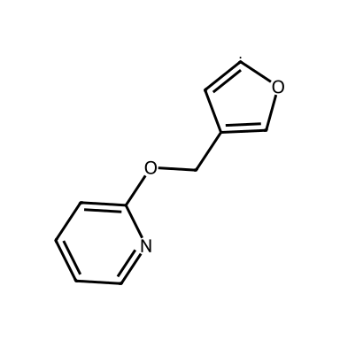 [c]1cc(COc2ccccn2)co1